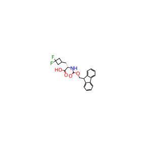 O=C(N[C@@H](CC1CC(F)(F)C1)C(=O)O)OCC1c2ccccc2-c2ccccc21